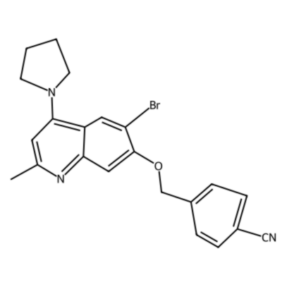 Cc1cc(N2CCCC2)c2cc(Br)c(OCc3ccc(C#N)cc3)cc2n1